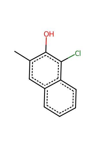 Cc1cc2ccccc2c(Cl)c1O